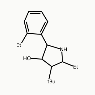 CCc1ccccc1C1NC(CC)C(C(C)(C)C)C1O